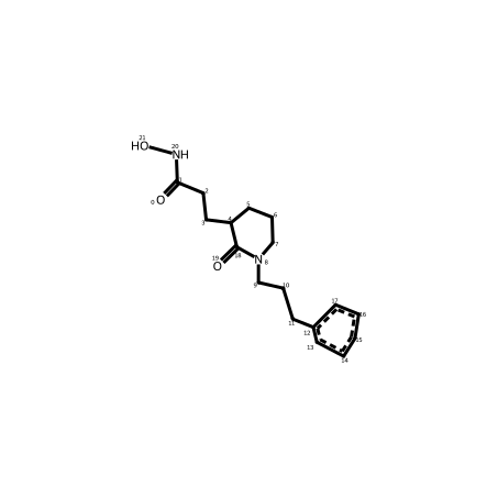 O=C(CCC1CCCN(CCCc2ccccc2)C1=O)NO